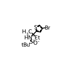 CC[C@](C)(N[S+]([O-])C(C)(C)C)c1cc(Br)cs1